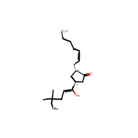 CCCCC(C)(C)CC=C(O)[C@@H]1CC(=O)[C@@H](C/C=C\CCCC(=O)O)C1